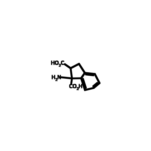 NC1(C(=O)O)c2ccccc2CC1C(=O)O